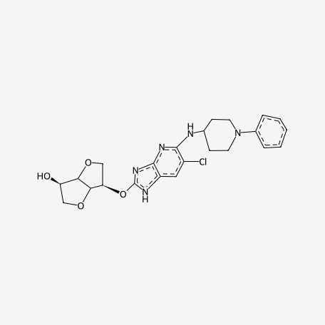 O[C@@H]1COC2C1OC[C@H]2Oc1nc2nc(NC3CCN(c4ccccc4)CC3)c(Cl)cc2[nH]1